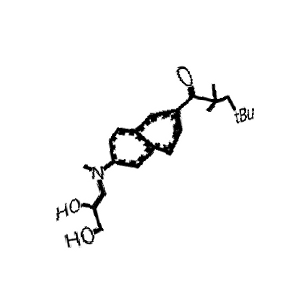 CN(CC(O)CO)c1ccc2cc(C(=O)C(C)(C)CC(C)(C)C)ccc2c1